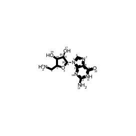 NCC1O[C@@H](n2cnc3c(=O)[nH]c(N)nc32)[C@H](O)C1O